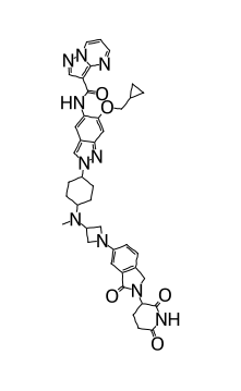 CN(C1CCC(n2cc3cc(NC(=O)c4cnn5cccnc45)c(OCC4CC4)cc3n2)CC1)C1CN(c2ccc3c(c2)C(=O)N(C2CCC(=O)NC2=O)C3)C1